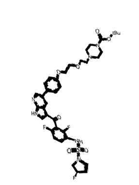 CC(C)(C)OC(=O)N1CCN(CCOCCOc2ccc(-c3cnc4[nH]cc(C(=O)c5c(F)ccc(NS(=O)(=O)N6CC[C@@H](F)C6)c5F)c4c3)cc2)CC1